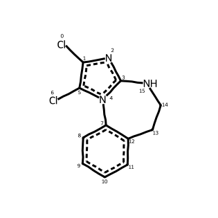 Clc1nc2n(c1Cl)-c1ccccc1CCN2